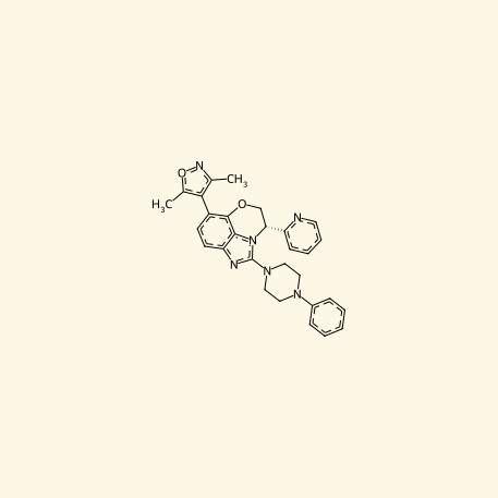 Cc1noc(C)c1-c1ccc2nc(N3CCN(c4ccccc4)CC3)n3c2c1OC[C@@H]3c1ccccn1